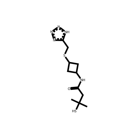 CC(C)(S)CC(=O)NC1CC(SCc2nnn[nH]2)C1